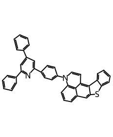 C1=CN(c2ccc(-c3cc(-c4ccccc4)cc(-c4ccccc4)n3)cc2)c2cccc3cc4sc5ccccc5c4c1c23